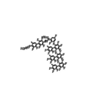 CCCCCCCCCN(CC)c1cc(F)ccc1F.Cc1cc(-c2c(F)c(F)c(F)c(F)c2F)c(F)c(F)c1F.Cc1cc(-c2c(F)c(F)c(F)c(F)c2F)c(F)c(F)c1F.Cc1cc(-c2c(F)c(F)c(F)c(F)c2F)c(F)c(F)c1F.Cc1cc(-c2c(F)c(F)c(F)c(F)c2F)c(F)c(F)c1F.[O]=[Al][OH]